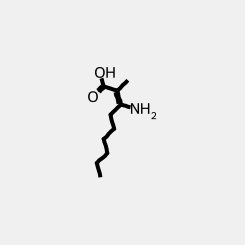 CCCCCCC(N)=C(C)C(=O)O